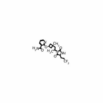 C[C@@H](C[C@]1(C)C[C@@H](Oc2ncccc2C(N)=O)C1)N1C(=O)NC(CCC(F)(F)F)C1=O